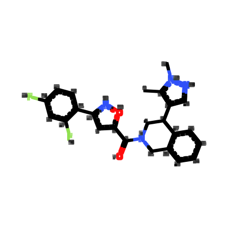 Cc1c(C2CN(C(=O)c3cc(-c4ccc(F)cc4F)no3)Cc3ccccc32)cnn1C